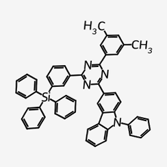 Cc1cc(C)cc(-c2nc(-c3cccc([Si](c4ccccc4)(c4ccccc4)c4ccccc4)c3)nc(-c3ccc4c(c3)c3ccccc3n4-c3ccccc3)n2)c1